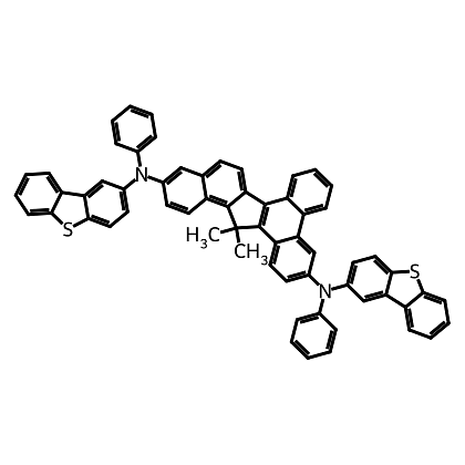 CC1(C)c2c(ccc3cc(N(c4ccccc4)c4ccc5sc6ccccc6c5c4)ccc23)-c2c1c1ccc(N(c3ccccc3)c3ccc4sc5ccccc5c4c3)cc1c1ccccc21